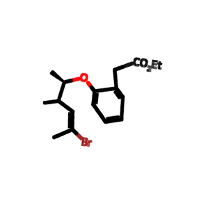 CCOC(=O)Cc1ccccc1O[C@H](C)C(C)/C=C(\C)Br